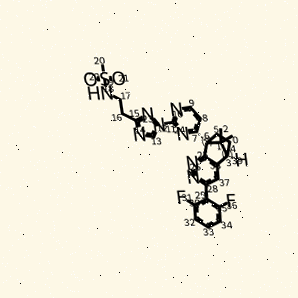 CC1(C)[C@H]2CC[C@]1(c1ccnc(-n3cnc(CCNS(C)(=O)=O)n3)n1)c1nnc(-c3c(F)cccc3F)cc12